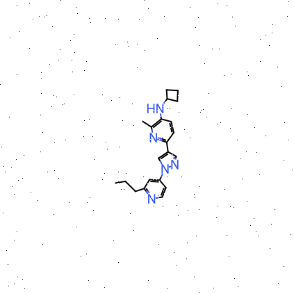 CCCc1cc(-n2cc(-c3ccc(NC4CCC4)c(C)n3)cn2)ccn1